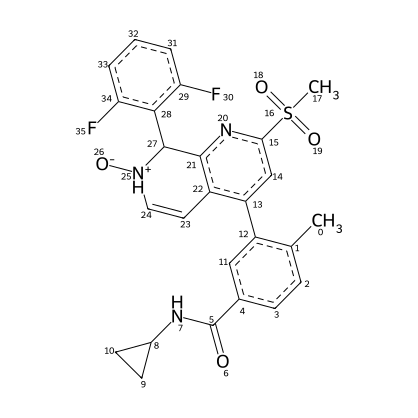 Cc1ccc(C(=O)NC2CC2)cc1-c1cc(S(C)(=O)=O)nc2c1C=C[NH+]([O-])C2c1c(F)cccc1F